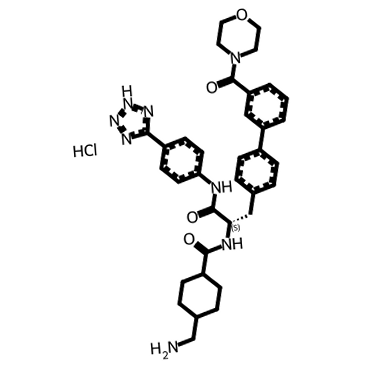 Cl.NCC1CCC(C(=O)N[C@@H](Cc2ccc(-c3cccc(C(=O)N4CCOCC4)c3)cc2)C(=O)Nc2ccc(-c3nn[nH]n3)cc2)CC1